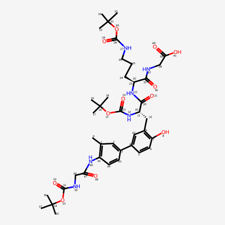 Cc1cc(-c2ccc(O)c(C[C@H](NC(=O)OC(C)(C)C)C(=O)N[C@@H](CCCNC(=O)OC(C)(C)C)C(=O)NCC(=O)O)c2)ccc1NC(=O)CNC(=O)OC(C)(C)C